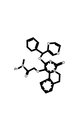 CC(C)N(C)C(=O)COc1c(OC(C2=CC=CCC2)C2=COC=CO2)nc(=O)n2c1-c1ccccc1CC2